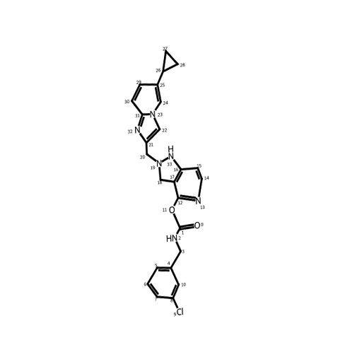 O=C(NCc1cccc(Cl)c1)Oc1nccc2c1CN(Cc1cn3cc(C4CC4)ccc3n1)N2